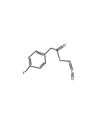 O=C=NSC(=O)Cc1ccc(F)cc1